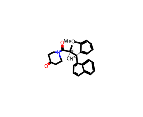 COc1ccccc1[C@H](c1cccc2ccccc12)[C@@](C)(C#N)C(=O)N1CCC(=O)CC1